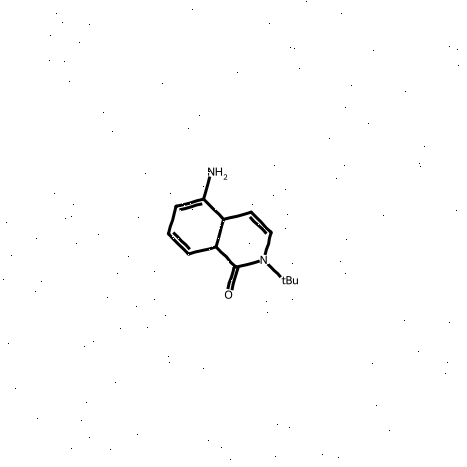 CC(C)(C)N1C=CC2C(N)=CC=CC2C1=O